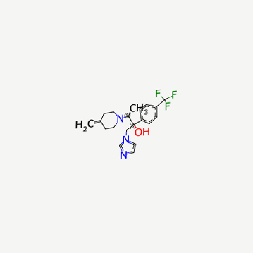 C=C1CCN([C@@H](C)[C@@](O)(Cn2ccnc2)c2ccc(C(F)(F)F)cc2)CC1